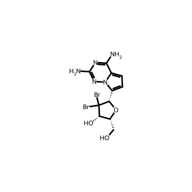 Nc1nc(N)c2ccc([C@@H]3O[C@H](CO)[C@H](O)C3(Br)Br)n2n1